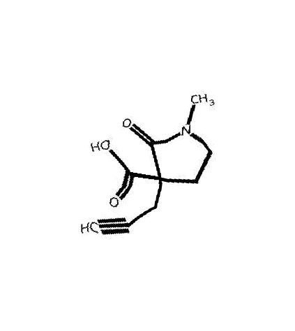 C#CCC1(C(=O)O)CCN(C)C1=O